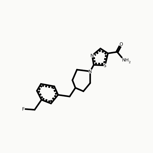 NC(=O)c1cnc(N2CCC(Cc3cccc(CF)c3)CC2)s1